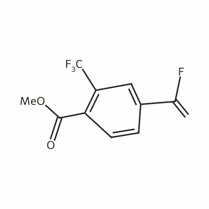 C=C(F)c1ccc(C(=O)OC)c(C(F)(F)F)c1